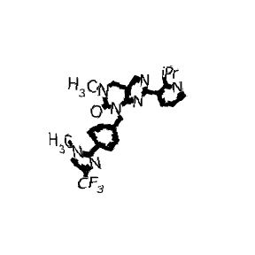 CC(C)c1ncccc1-c1ncc2c(n1)N(Cc1ccc(-c3nc(C(F)(F)F)cn3C)cc1)C(=O)N(C)C2